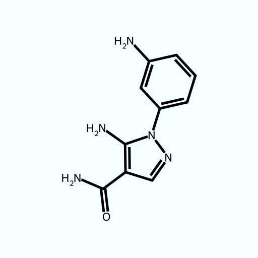 NC(=O)c1cnn(-c2cccc(N)c2)c1N